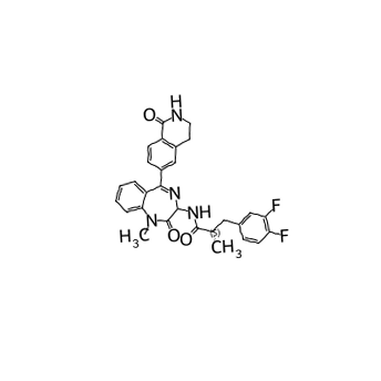 C[C@@H](Cc1ccc(F)c(F)c1)C(=O)NC1N=C(c2ccc3c(c2)CCNC3=O)c2ccccc2N(C)C1=O